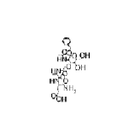 CC(=O)N[C@H]1[C@@H](OCc2ccccc2)O[C@H](CO)[C@@H](O)[C@@H]1OCC(=O)NC(C)C(=O)NC(CCC(=O)O)C(N)=O